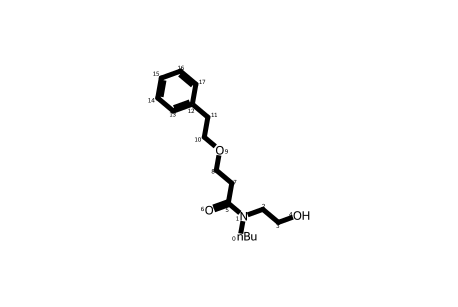 CCCCN(CCO)C(=O)CCOCCc1ccccc1